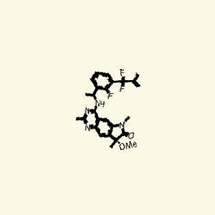 C=C(C)C(F)(F)c1cccc(C(C)Nc2nc(C)nc3cc4c(cc23)N(C)C(=O)[C@@]4(C)OC)c1F